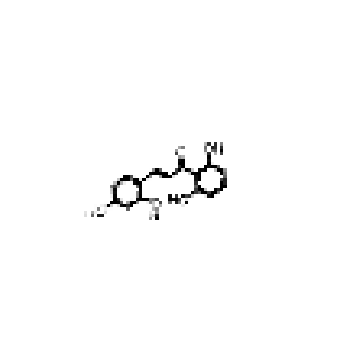 O=C(C=Cc1ccc(O)cc1O)c1c(O)cccc1O